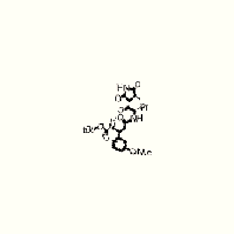 COc1cccc(C(CC(=O)N[C@H](C(=O)[C@@H]2C(=O)NC(=O)[C@H]2C)C(C)C)NC(=O)OC(C)(C)C)c1